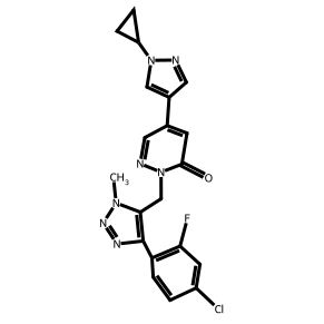 Cn1nnc(-c2ccc(Cl)cc2F)c1Cn1ncc(-c2cnn(C3CC3)c2)cc1=O